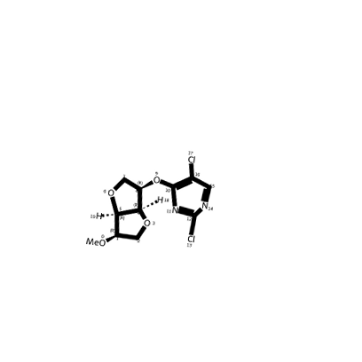 CO[C@@H]1CO[C@H]2[C@@H]1OC[C@H]2Oc1nc(Cl)ncc1Cl